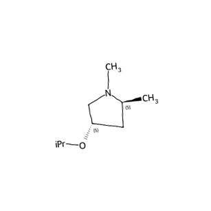 CC(C)O[C@H]1C[C@H](C)N(C)C1